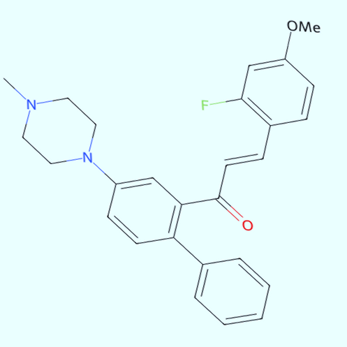 COc1ccc(/C=C/C(=O)c2cc(N3CCN(C)CC3)ccc2-c2ccccc2)c(F)c1